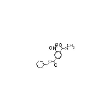 COC(=O)c1ccc(C(=O)OCc2ccccc2)cc1[N+](=O)[O-]